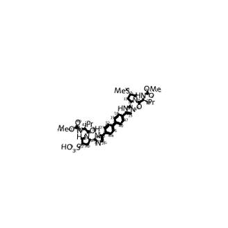 COC(=O)N[C@H](C(=O)N1C[C@@H](SC)C[C@H]1c1ncc(-c2ccc(-c3ccc(-c4cnc([C@@H]5C[C@H](S(=O)(=O)O)CN5C(=O)[C@@H](NC(=O)OC)C(C)C)[nH]4)cc3)cc2)[nH]1)C(C)C